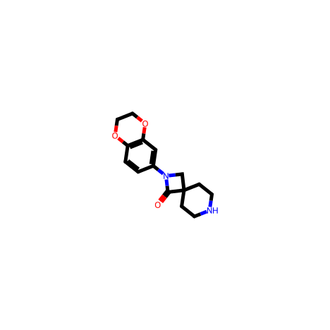 O=C1N(c2ccc3c(c2)OCCO3)CC12CCNCC2